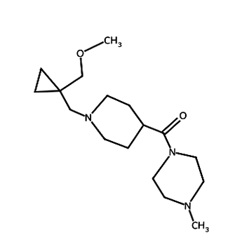 COCC1(CN2CCC(C(=O)N3CCN(C)CC3)CC2)CC1